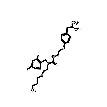 CCOC(Cc1ccc(OCCNC(=O)N(CCOCCCC(F)(F)F)Cc2ccc(F)cc2F)cc1)C(=O)O